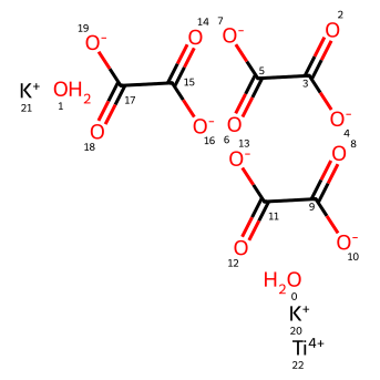 O.O.O=C([O-])C(=O)[O-].O=C([O-])C(=O)[O-].O=C([O-])C(=O)[O-].[K+].[K+].[Ti+4]